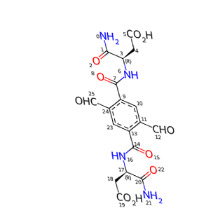 NC(=O)[C@@H](CC(=O)O)NC(=O)c1cc(C=O)c(C(=O)N[C@H](CC(=O)O)C(N)=O)cc1C=O